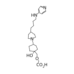 O=C(O)COCC1(O)CCC(N2CCC(CCCCNc3ccncc3)CC2)CC1